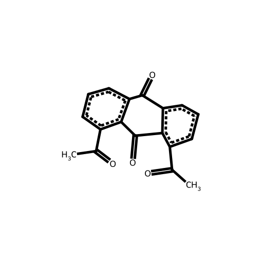 CC(=O)c1cccc2c1C(=O)c1c(C(C)=O)cccc1C2=O